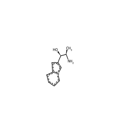 C[C@@H](N)[C@H](O)c1cc2ccccn2c1